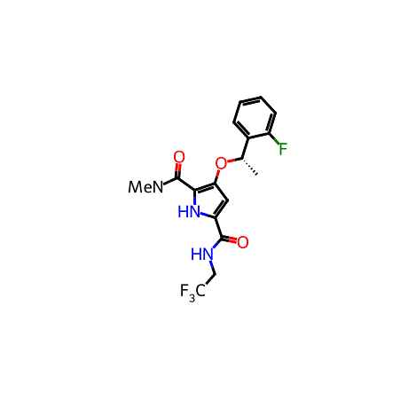 CNC(=O)c1[nH]c(C(=O)NCC(F)(F)F)cc1O[C@@H](C)c1ccccc1F